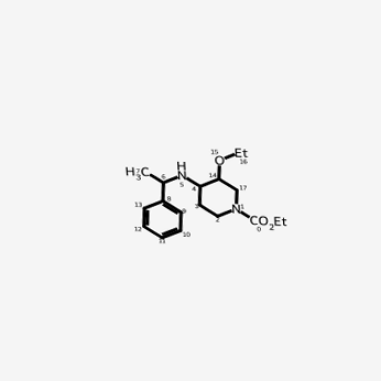 CCOC(=O)N1CCC(NC(C)c2ccccc2)C(OCC)C1